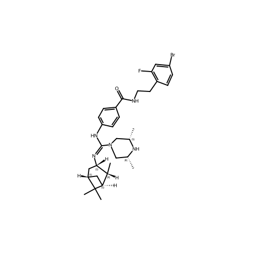 C[C@H]1[C@@H](N=C(Nc2ccc(C(=O)NCCc3ccc(Br)cc3F)cc2)N2C[C@@H](C)N[C@@H](C)C2)C[C@@H]2C[C@@H]1C2(C)C